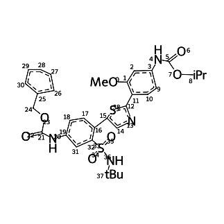 COc1cc(NC(=O)OC(C)C)ccc1-c1ncc(-c2ccc(NC(=O)OCc3ccccc3)cc2S(=O)(=O)NC(C)(C)C)s1